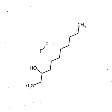 CCCCCCCCC(O)CN.FF